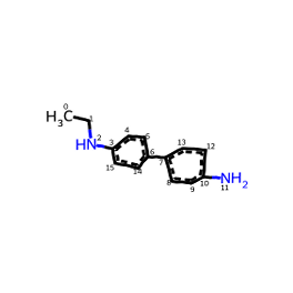 CCNc1ccc(-c2ccc(N)cc2)cc1